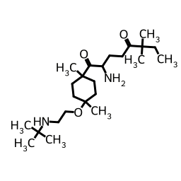 CCC(C)(C)C(=O)CCC(N)C(=O)C1(C)CCC(C)(OCCNC(C)(C)C)CC1